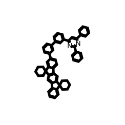 c1ccc(-c2cc(-c3cccc(-c4cccc(-c5ccc6c(c5)C5(CCCCC5)c5cc7c(cc5-6)C5(CCCCC5)c5ccccc5-7)c4)c3)nc(-c3ccccc3)n2)cc1